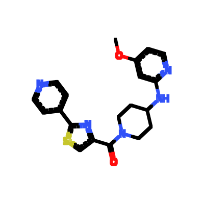 COc1ccnc(NC2CCN(C(=O)c3csc(-c4ccncc4)n3)CC2)c1